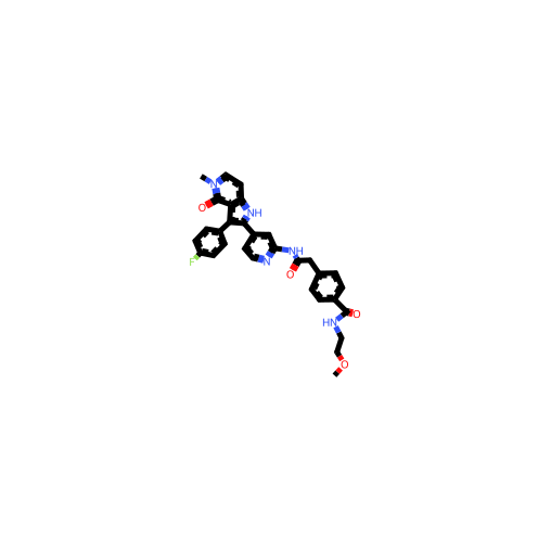 COCCNC(=O)c1ccc(CC(=O)Nc2cc(-c3[nH]c4ccn(C)c(=O)c4c3-c3ccc(F)cc3)ccn2)cc1